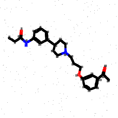 CCC(=O)Nc1cccc(C2CCN(CCCOc3cccc(C(C)=O)c3)CC2)c1